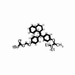 CCN(CC)C(C)Oc1ccc(C(=C2CCCc3ccccc32)c2ccc(OCOC(=O)C(C)(C)C)cc2)cc1